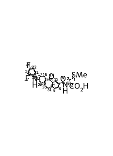 CSCC[C@H](NC(=O)c1ccc2c(c1)C(=O)c1ccc(Nc3ccc(F)cc3F)cc1CC2)C(=O)O